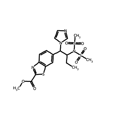 CCC(C(c1ccc2nc(C(=O)OC)sc2c1)n1ccnc1)N(S(C)(=O)=O)S(C)(=O)=O